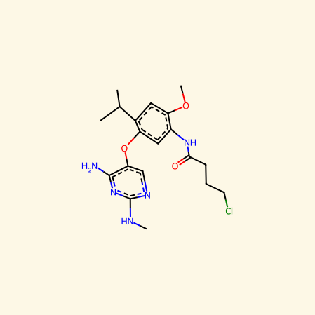 CNc1ncc(Oc2cc(NC(=O)CCCCl)c(OC)cc2C(C)C)c(N)n1